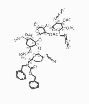 CC[C@H]([C@@H]1CC[C@@H](N=[N+]=[N-])[C@@H](O[C@H]2[C@H](O[C@@H]3O[C@H](CC)[C@@H](O[C@H]4O[C@@H](CN=[N+]=[N-])[C@@H](OC(C)=O)[C@H](OC(C)=O)[C@H]4N=[N+]=[N-])[C@H]3OC(C)=O)[C@@H](OC(C)=O)[C@H](N=[N+]=[N-])C[C@@H]2N=[N+]=[N-])O1)N(Cc1ccccc1)C(=O)OCc1ccccc1